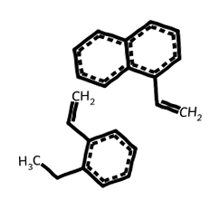 C=Cc1cccc2ccccc12.C=Cc1ccccc1CC